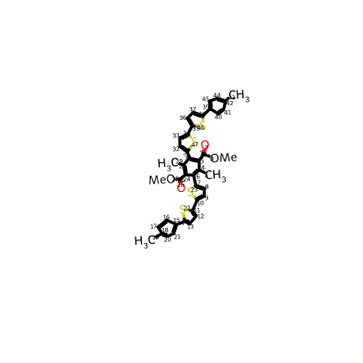 COC(=O)c1c(C)c(-c2ccc(-c3ccc(-c4ccc(C)cc4)s3)s2)c(C(=O)OC)c(C)c1-c1ccc(-c2ccc(-c3ccc(C)cc3)s2)s1